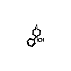 CN1CCC(C#N)(c2ccccc2)CC1.Cl